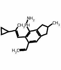 C=Cc1cc2c(c(PN)c1/C=C(\C)C1CC1)CC(C)C2